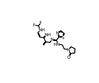 C=C(C/N=C(\NCCN1CCCC1=O)c1nccs1)C(=N)/C=C\NC(F)F